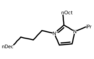 CCCCCCCCCCCCC[n+]1ccn(C(C)C)c1CCCCCCCC